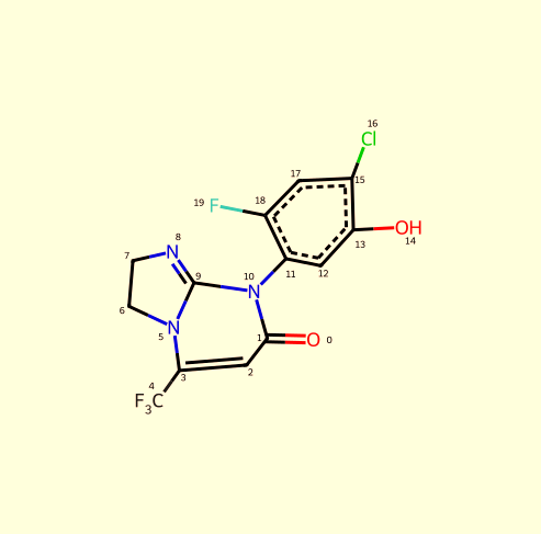 O=C1C=C(C(F)(F)F)N2CCN=C2N1c1cc(O)c(Cl)cc1F